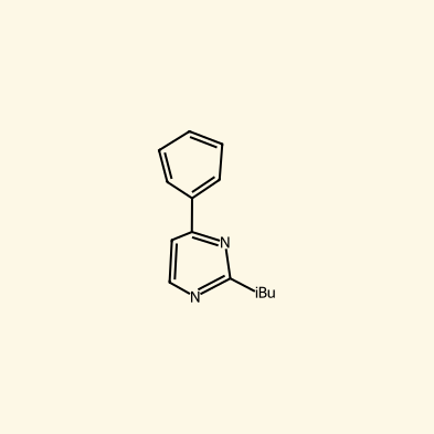 CCC(C)c1nccc(-c2ccccc2)n1